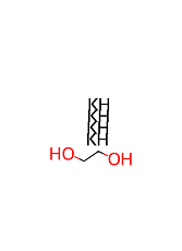 OCCO.[KH].[KH].[KH].[KH]